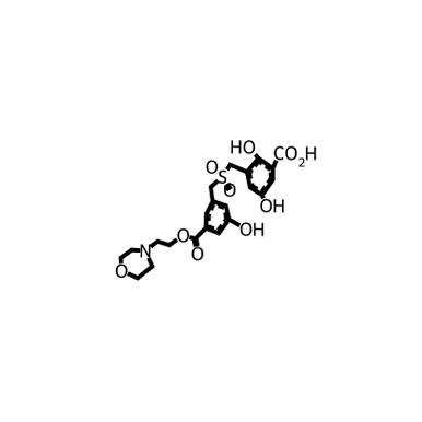 O=C(OCCN1CCOCC1)c1cc(O)cc(CS(=O)(=O)Cc2cc(O)cc(C(=O)O)c2O)c1